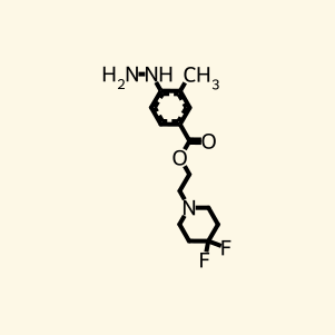 Cc1cc(C(=O)OCCN2CCC(F)(F)CC2)ccc1NN